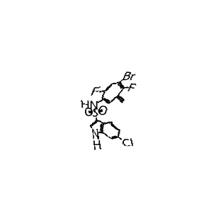 C=C1C=C(NS(=O)(=O)c2c[nH]c3cc(Cl)ccc23)C(F)=CC(Br)=C1F